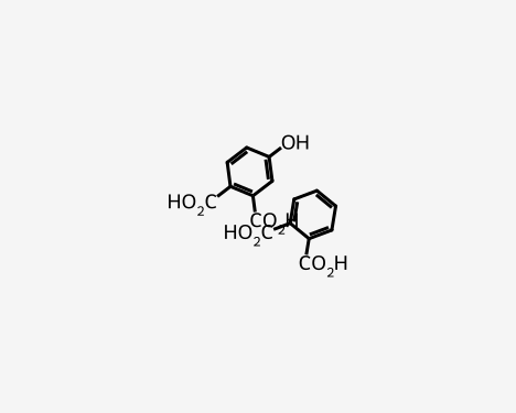 O=C(O)c1ccc(O)cc1C(=O)O.O=C(O)c1ccccc1C(=O)O